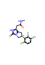 CNC(=O)Cc1[nH]c(=S)n2c1C[C@@H](c1c(F)ccc(Cl)c1F)C2